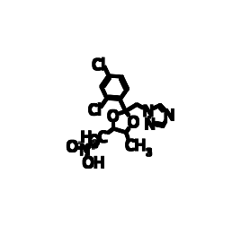 CC1OC(Cn2cncn2)(c2ccc(Cl)cc2Cl)OC1C.O=[N+]([O-])O